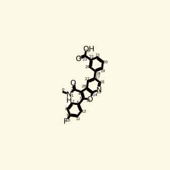 CNC(=O)c1c(-c2ccc(F)cc2)oc2ncc(-c3cccc(C(=O)O)c3)cc12